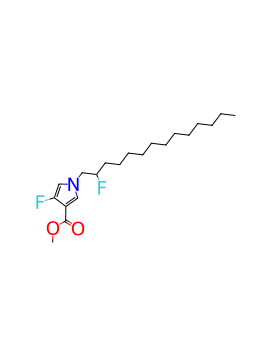 CCCCCCCCCCCCC(F)Cn1cc(F)c(C(=O)OC)c1